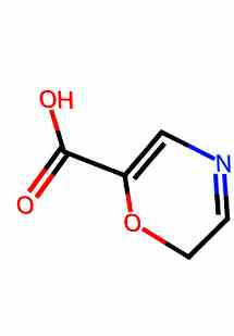 O=C(O)C1=CN=CCO1